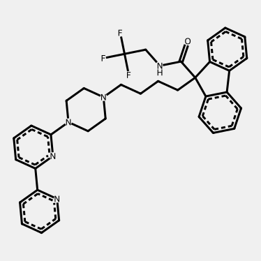 O=C(NCC(F)(F)F)C1(CCCCN2CCN(c3cccc(-c4ccccn4)n3)CC2)c2ccccc2-c2ccccc21